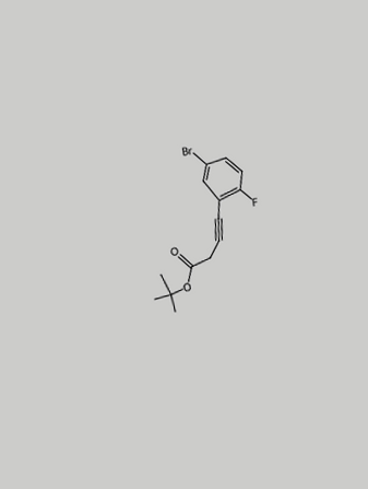 CC(C)(C)OC(=O)CC#Cc1cc(Br)ccc1F